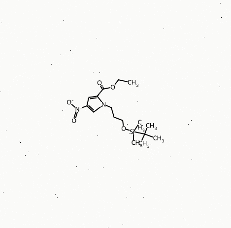 CCOC(=O)c1cc([N+](=O)[O-])cn1CCCO[Si](C)(C)C(C)(C)C